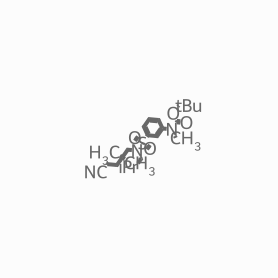 CC(C)CN(CC(C)(C)CCC#N)S(=O)(=O)c1cccc(N(C)C(=O)OC(C)(C)C)c1